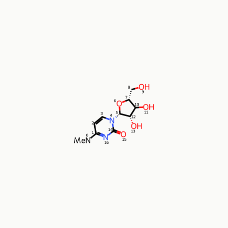 CNc1ccn([C@@H]2O[C@H](CO)C(O)[C@@H]2O)c(=O)n1